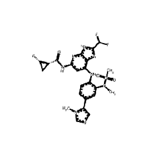 CN(c1cc(-c2cncn2C)ccc1Nc1cc(NC(=O)[C@@H]2C[C@@H]2F)nc2[nH]c(C(F)F)nc12)S(C)(=O)=O